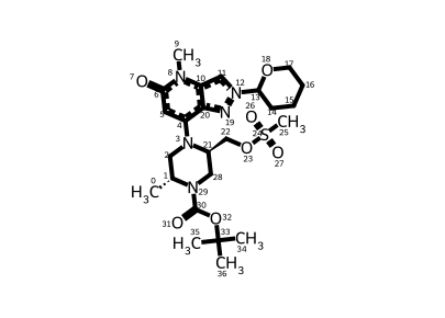 C[C@@H]1CN(c2cc(=O)n(C)c3cn(C4CCCCO4)nc23)[C@@H](COS(C)(=O)=O)CN1C(=O)OC(C)(C)C